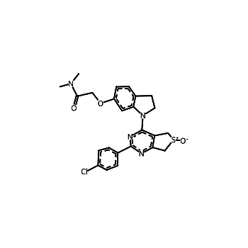 CN(C)C(=O)COc1ccc2c(c1)N(c1nc(-c3ccc(Cl)cc3)nc3c1C[S+]([O-])C3)CC2